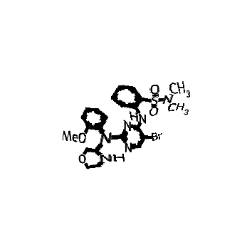 COc1ccccc1N(c1ncc(Br)c(Nc2ccccc2S(=O)(=O)N(C)C)n1)C1COCCN1